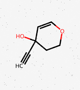 C#CC1(O)C=COCC1